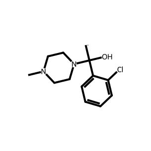 [CH2]C(O)(c1ccccc1Cl)N1CCN(C)CC1